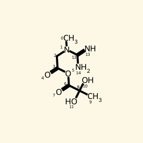 CN(CC(=O)OC(=O)C(C)(O)O)C(=N)N